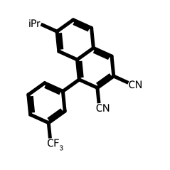 CC(C)c1ccc2cc(C#N)c(C#N)c(-c3cccc(C(F)(F)F)c3)c2c1